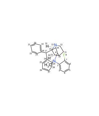 CN(c1ccccc1F)[C@@H]1C2CCN(CC2)[C@@H]1C(c1ccccc1)c1ccccc1